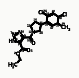 CCOC(=O)c1[nH]nnc1C(=O)N1CCC(C2=CC(C)C(Cl)C=C2Cl)C1